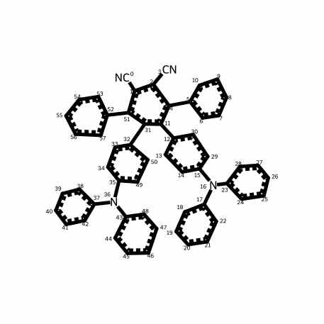 N#Cc1c(C#N)c(-c2ccccc2)c(-c2ccc(N(c3ccccc3)c3ccccc3)cc2)c(-c2ccc(N(c3ccccc3)c3ccccc3)cc2)c1-c1ccccc1